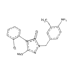 CSc1nn(Cc2ccc(N)c(C)c2)c(=O)n1-c1ccccc1Cl